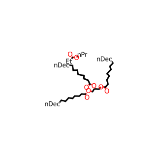 CCCCCCCCCCCCCCCCCC(=O)OCC(COC(=O)CCCCCCCCCCCCCCCCC)OC(=O)CCCCCCCCCCCCCCCCC.CCCOC(=O)CC